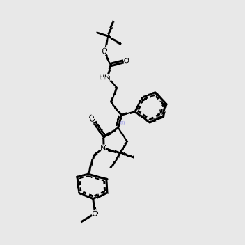 COc1ccc(CN2C(=O)/C(=C(\CCNC(=O)OC(C)(C)C)c3ccccc3)CC2(C)C)cc1